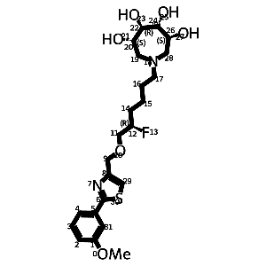 COc1cccc(-c2nc(COC[C@H](F)CCCCN3C[C@H](O)[C@@H](O)[C@H](O)[C@@H](O)C3)cs2)c1